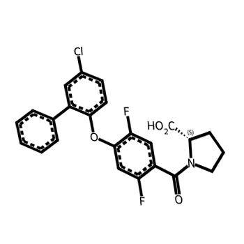 O=C(O)[C@@H]1CCCN1C(=O)c1cc(F)c(Oc2ccc(Cl)cc2-c2ccccc2)cc1F